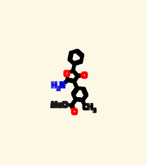 COC(=O)c1cc(C2=C(N)OC(c3ccccc3)C2=O)ccc1C